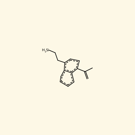 C=C(C)c1ccc(CC[SiH3])c2ccccc12